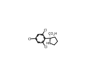 O=C(O)[C@]1(c2c(Cl)cc(Cl)cc2Cl)CCCN1